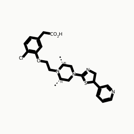 C[C@@H]1CN(C2=NCC(c3cccnc3)S2)C[C@H](C)N1CCOc1cc(CC(=O)O)ccc1Cl